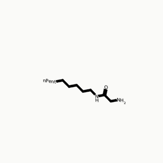 CCCCCCCCCCNC(=O)CN